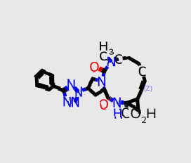 CN1CCCC/C=C\C2CC2(C(=O)O)NC(=O)C2CC(n3nnc(-c4ccccc4)n3)CN2C1=O